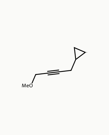 COCC#CCC1[CH]C1